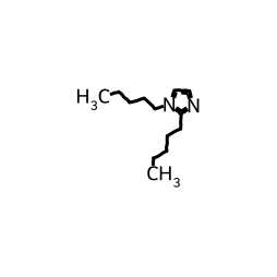 CCCCCc1nccn1CCCCC